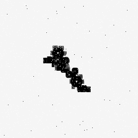 CCCCc1ccc(C(=O)OCCC(C)(C)NC(=O)c2ccccc2CCCC)cc1